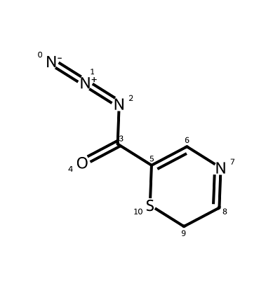 [N-]=[N+]=NC(=O)C1=CN=CCS1